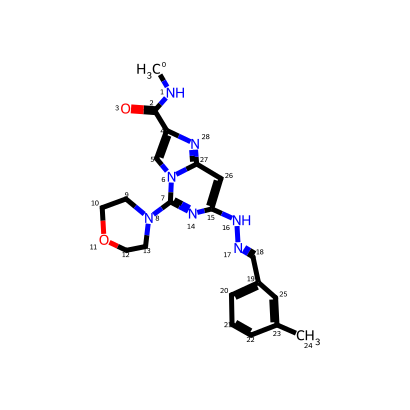 CNC(=O)c1cn2c(N3CCOCC3)nc(N/N=C/c3cccc(C)c3)cc2n1